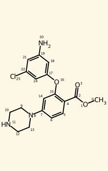 COC(=O)c1ccc(N2CCNCC2)cc1Oc1cc(N)cc(Cl)c1